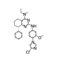 CCN(C)c1nc(Nc2ccc(-n3cnc(Cl)c3)c(OC)c2)nc2c1CCC[C@H]2c1ccccc1